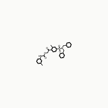 Cc1cccc(NC(=O)OCC(=O)c2ccc(S(=O)(=O)N(Cc3ccccc3)Cc3ccccc3)cc2C)c1